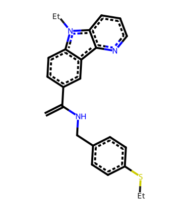 C=C(NCc1ccc(SCC)cc1)c1ccc2c(c1)c1ncccc1n2CC